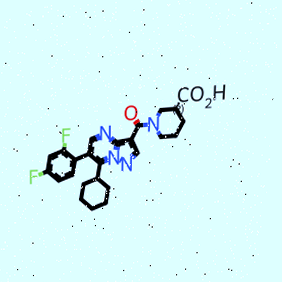 O=C(O)[C@@H]1CCCN(C(=O)c2cnn3c(C4CCCCC4)c(-c4ccc(F)cc4F)cnc23)C1